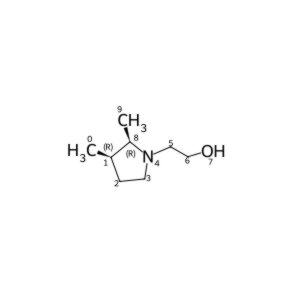 C[C@@H]1CCN(CCO)[C@@H]1C